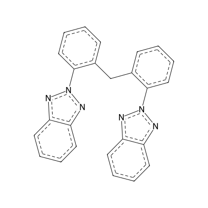 c1ccc(-n2nc3ccccc3n2)c(Cc2ccccc2-n2nc3ccccc3n2)c1